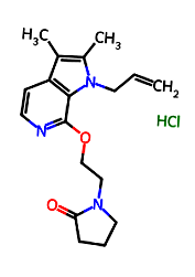 C=CCn1c(C)c(C)c2ccnc(OCCN3CCCC3=O)c21.Cl